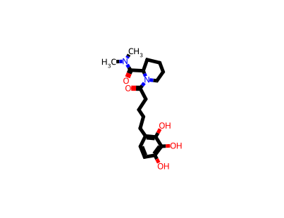 CN(C)C(=O)C1CCCCN1C(=O)CCCCc1ccc(O)c(O)c1O